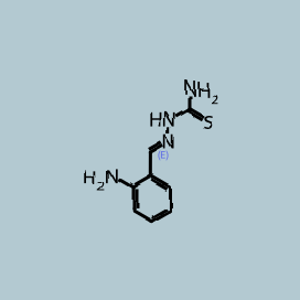 NC(=S)N/N=C/c1ccccc1N